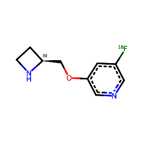 [18F]c1cncc(OC[C@@H]2CCN2)c1